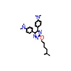 CC(C)CCCCOc1nnc(-c2ccc(N(C)C)cc2)c(-c2ccc(N(C)C)cc2)n1